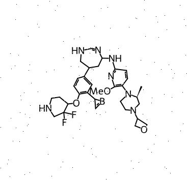 COc1nc(NC2CC(c3ccc(OC4CCNCC4(F)F)c(C4B=C4)c3)CNC=N2)ccc1N1CCN(C2COC2)C[C@@H]1C